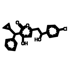 O=c1oc(CC(O)c2ccc(Cl)cc2)cc(O)c1C(c1ccccc1)C1CC1